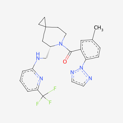 Cc1ccc(-n2nccn2)c(C(=O)N2CCC3(CC3)C[C@H]2CNc2cccc(C(F)(F)F)n2)c1